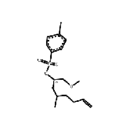 C=CCCC(C)C[C@H](COC)OS(=O)(=O)c1ccc(C)cc1